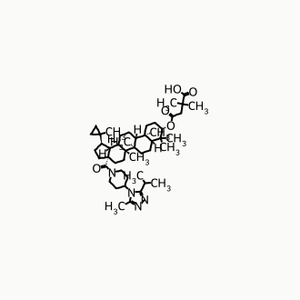 Cc1nnc(C(C)C)n1C1CCN(C(=O)[C@]23CC[C@@H](C4(C)CC4)[C@@H]2[C@H]2CC[C@@H]4[C@@]5(C)CC[C@H](OC(=O)CC(C)(C)C(=O)O)C(C)(C)[C@@H]5CC[C@@]4(C)[C@]2(C)CC3)CC1